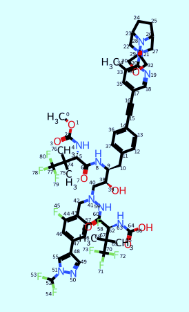 COC(=O)N[C@H](C(=O)N[C@@H](Cc1ccc(C#Cc2cnc(N3CC4CCC(C3)N4C3COC3)c(C)c2)cc1)[C@@H](O)CN(Cc1c(F)cc(-c2cnn(C(F)F)c2)cc1F)NC(=O)[C@@H](NC(=O)O)C(C)(C)C(F)(F)F)C(C)(C)C(F)(F)F